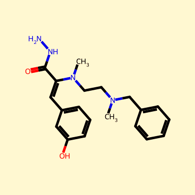 CN(CCN(C)C(=Cc1cccc(O)c1)C(=O)NN)Cc1ccccc1